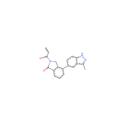 C=CC(=O)N1Cc2c(cccc2-c2ccc3[nH]nc(C)c3c2)C1=O